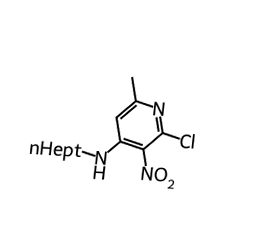 CCCCCCCNc1cc(C)nc(Cl)c1[N+](=O)[O-]